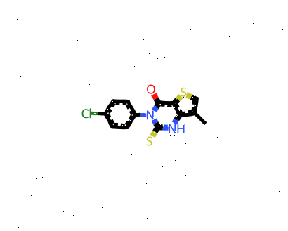 Cc1csc2c(=O)n(-c3ccc(Cl)cc3)c(=S)[nH]c12